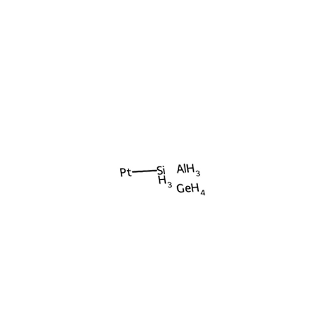 [AlH3].[GeH4].[SiH3][Pt]